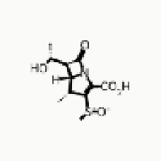 C[C@@H](O)[C@H]1C(=O)N2C(C(=O)O)=C([S+](C)[O-])[C@H](C)[C@H]12